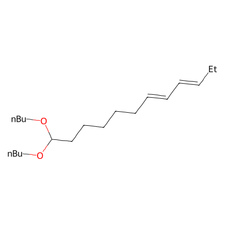 CCC=CC=CCCCCCC(OCCCC)OCCCC